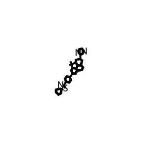 CC1(C)c2cc(-c3ccc(-c4nc5ccccc5s4)cc3)cc3ccc4cc(-c5cnccn5)cc1c4c23